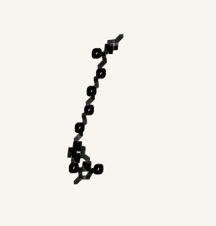 CC1CN(C(=O)CCOCCOCCOCCOCCn2cc(CN3C(=O)CC(C)C3=O)nn2)C1